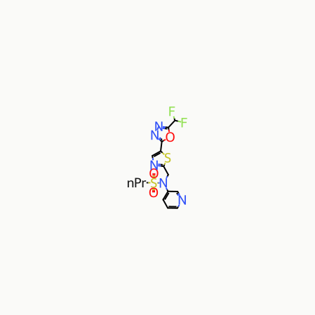 CCCS(=O)(=O)N(Cc1ncc(-c2nnc(C(F)F)o2)s1)c1cccnc1